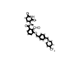 CN(C(=O)c1cccc(OCc2ccc(CN3CCC(C(F)(F)F)CC3)cc2)c1C=O)C1CCC(=O)NC1=O